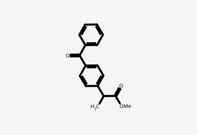 COC(=O)C(C)c1ccc(C(=O)c2ccccc2)cc1